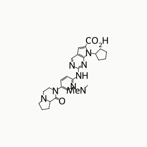 CNC.O=C(O)c1cc2cnc(Nc3ccc(N4CCN5CCCC5C4=O)cn3)nc2n1C1CCCC1